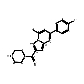 Cc1cc(-c2ccc(F)cc2)nc2cc(C(=O)N3CCOCC3)nn12